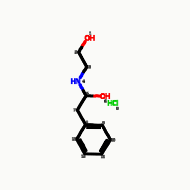 Cl.OCCNC(O)Cc1ccccc1